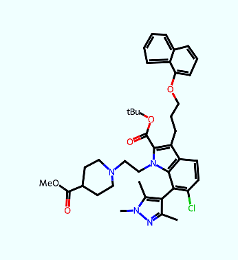 COC(=O)C1CCN(CCn2c(C(=O)OC(C)(C)C)c(CCCOc3cccc4ccccc34)c3ccc(Cl)c(-c4c(C)nn(C)c4C)c32)CC1